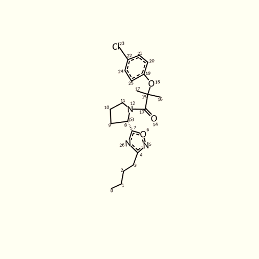 CCCCc1noc([C@@H]2CCCN2C(=O)C(C)(C)Oc2ccc(Cl)cc2)n1